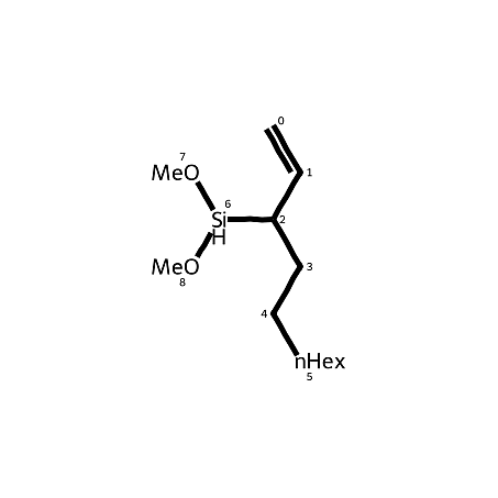 C=CC(CCCCCCCC)[SiH](OC)OC